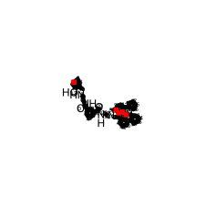 O=C(NCCNCc1ccccc1O)c1cccc(C(=O)NCCN2CCC(OC(=O)N(c3ccccc3-c3ccccc3)c3ccccc3-c3ccccc3)CC2)c1